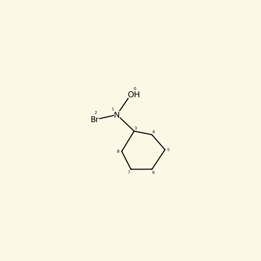 ON(Br)C1CCCCC1